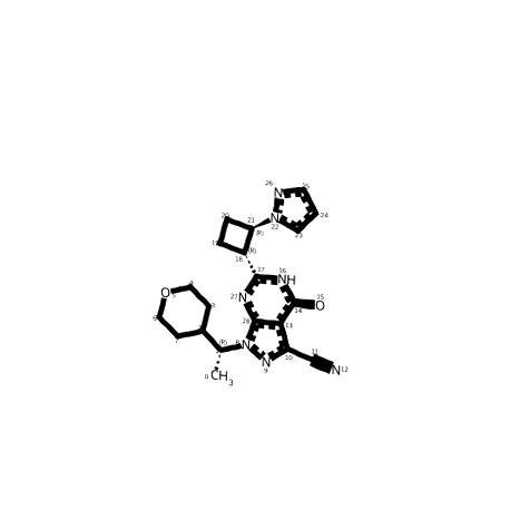 C[C@H](C1CCOCC1)n1nc(C#N)c2c(=O)[nH]c([C@@H]3CC[C@H]3n3cccn3)nc21